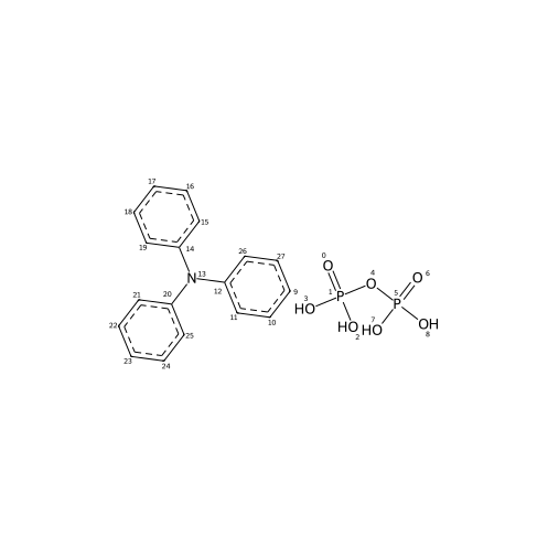 O=P(O)(O)OP(=O)(O)O.c1ccc(N(c2ccccc2)c2ccccc2)cc1